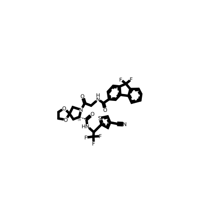 N#Cc1csc(C(NC(=O)[C@@H]2CC3(CN2C(=O)CNC(=O)c2ccc4c(c2)-c2ccccc2C4(F)F)OCCO3)C(F)(F)F)c1